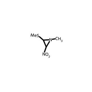 CSC1C([N+](=O)[O-])N1C